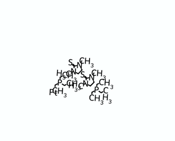 CCP(CC)CC.CCP(CC)CC.CN1CCN(C)C1=S.CN1CCN(C)C1=S.[Pt]